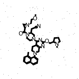 COCC[N@]1CC1C(=O)N1CCN(c2nc(OCC3CCCN3C)nc3c2CCN(c2cccc4cccc(C)c24)C3)CC1CC#N